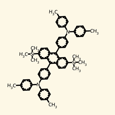 Cc1ccc(N(c2ccc(C)cc2)c2ccc(-c3c4ccc([Si](C)(C)C)cc4c(-c4ccc(N(c5ccc(C)cc5)c5ccc(C)cc5)cc4)c4ccc([Si](C)(C)C)cc34)cc2)cc1